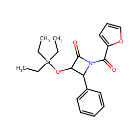 CC[Si](CC)(CC)OC1C(=O)N(C(=O)c2ccco2)C1c1ccccc1